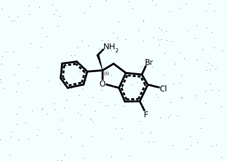 NC[C@@]1(c2ccccc2)Cc2c(cc(F)c(Cl)c2Br)O1